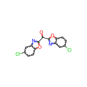 O=C(c1nc2cc(Cl)ccc2o1)c1nc2cc(Cl)ccc2o1